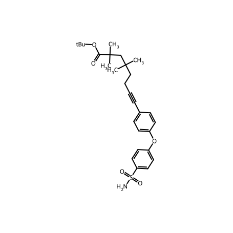 CC(C)(CCC#Cc1ccc(Oc2ccc(S(N)(=O)=O)cc2)cc1)CC(C)(C)C(=O)OC(C)(C)C